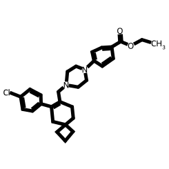 CCOC(=O)c1ccc(N2CCN(CC3=C(c4ccc(Cl)cc4)CC4(CCC4)CC3)CC2)cc1